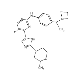 CC1CC(c2ncc(-c3nc(Nc4ccc(C(C)N5CCC5)cc4)ncc3F)[nH]2)CCO1